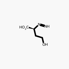 N=N[C@@H](CCO)C(=O)O